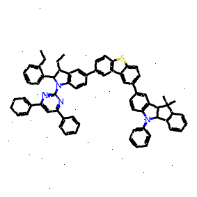 CCc1ccccc1C1C(CC)c2cc(-c3ccc4sc5ccc(-c6ccc7c(c6)C6C(C8C=CC=CC8C6(C)C)N7c6ccccc6)cc5c4c3)ccc2N1c1nc(C2=CCCC=C2)cc(-c2ccccc2)n1